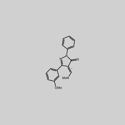 CN/C=C1/C(=O)N(c2ccccc2)N=C1c1cccc(OC)c1